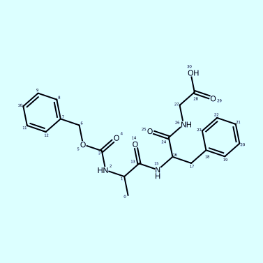 CC(NC(=O)OCc1ccccc1)C(=O)NC(Cc1ccccc1)C(=O)NCC(=O)O